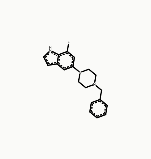 Fc1cc(N2CCN(Cc3ccccc3)CC2)cc2cc[nH]c12